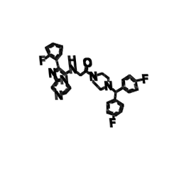 O=C(CNc1c(-c2ccccc2F)nc2cnccn12)N1CCN(C(c2ccc(F)cc2)c2ccc(F)cc2)CC1